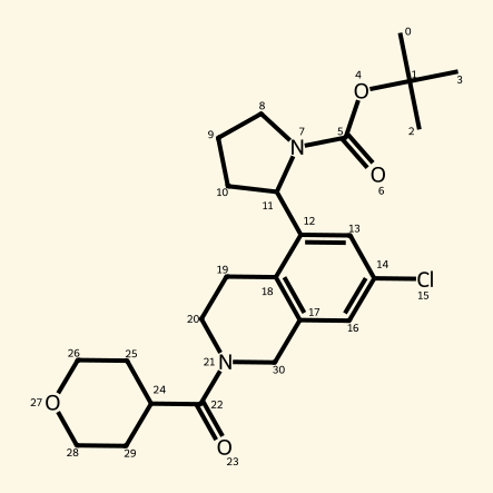 CC(C)(C)OC(=O)N1CCCC1c1cc(Cl)cc2c1CCN(C(=O)C1CCOCC1)C2